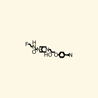 N#Cc1ccc(OCC(O)CN2CC3CC(C2)CN(C(=O)NCCF)C3)cc1